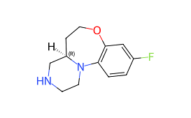 Fc1ccc2c(c1)OCC[C@@H]1CNCCN21